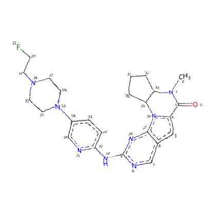 CN1C(=O)c2cc3cnc(Nc4ccc(N5CCN(CCF)CC5)cn4)nc3n2C2CCCC21